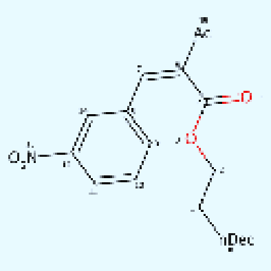 CCCCCCCCCCCCOC(=O)C(=Cc1cccc([N+](=O)[O-])c1)C(C)=O